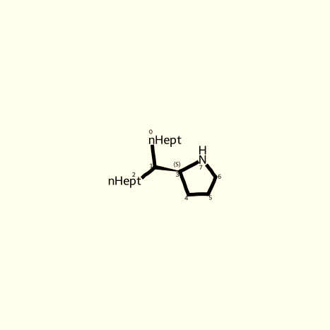 CCCCCCCC(CCCCCCC)[C@@H]1CCCN1